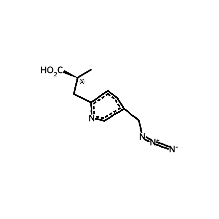 C[C@@H](Cc1ccc(CN=[N+]=[N-])cn1)C(=O)O